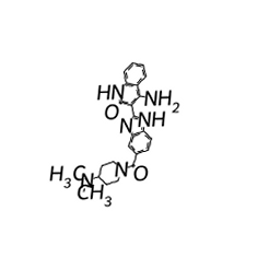 CN(C)C1CCN(C(=O)c2ccc3[nH]c(-c4c(N)c5ccccc5[nH]c4=O)nc3c2)CC1